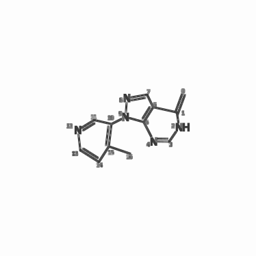 C=C1NC=Nc2c1cnn2-c1cnccc1C